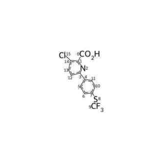 O=C(O)c1nc(-c2ccc(SC(F)(F)F)cc2)ccc1Cl